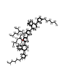 CCCCCCc1ccc(-c2cnc(-c3cc4c(s3)-c3sc(-c5ncc(-c6ccc(CCCCCC)s6)c6nsnc56)cc3[Si]4(CC(CC)CCCC)CC(CC)CCCC)c3nsnc23)s1